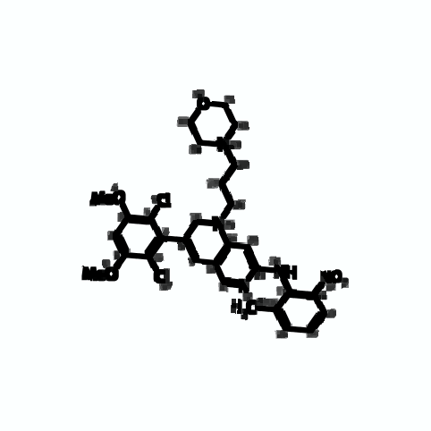 COc1cc(OC)c(Cl)c(C2=Cc3cnc(Nc4c(C)cccc4[N+](=O)[O-])cc3N(CCCN3CCOCC3)C2)c1Cl